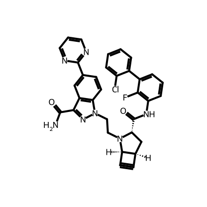 NC(=O)c1nn(CCN2[C@@H]3C#C[C@@H]3C[C@H]2C(=O)Nc2cccc(-c3ccccc3Cl)c2F)c2ccc(-c3ncccn3)cc12